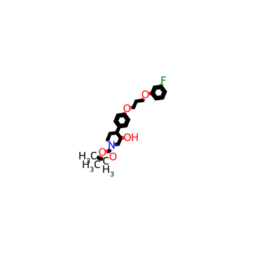 CC(C)(C)OC(=O)N1CCC(c2ccc(OCCCOc3cccc(F)c3)cc2)C(O)C1